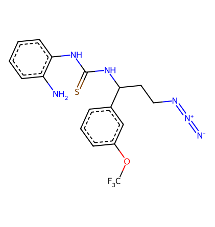 [N-]=[N+]=NCCC(NC(=S)Nc1ccccc1N)c1cccc(OC(F)(F)F)c1